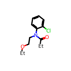 CCOCCN(C(=O)CC)c1ccccc1Cl